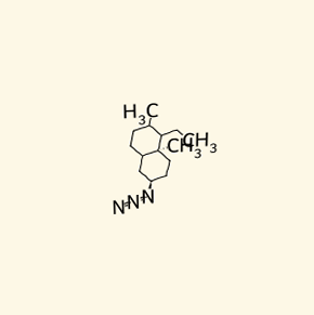 CCC1C(C)CCC2C[C@H](N=[N+]=[N-])CC[C@@]21C